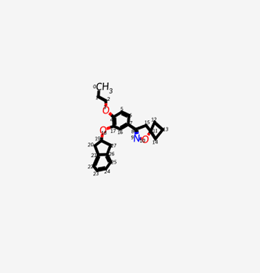 CCCOc1ccc(C2=NOC3(CCC3)C2)cc1OC1Cc2ccccc2C1